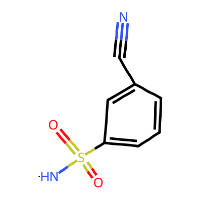 N#Cc1cccc(S([NH])(=O)=O)c1